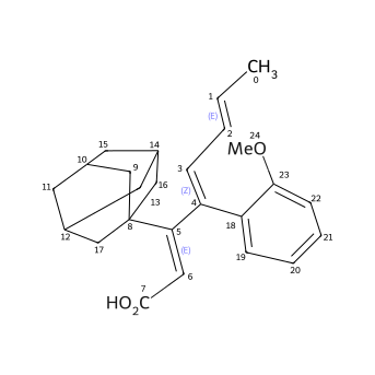 C/C=C/C=C(/C(=C/C(=O)O)C12CC3CC(CC(C3)C1)C2)c1ccccc1OC